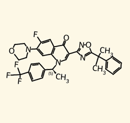 C[C@@H](c1ccc(C(F)(F)F)cc1)n1cc(-c2noc(C(C)(C)c3ccccc3)n2)c(=O)c2cc(F)c(N3CCOCC3)cc21